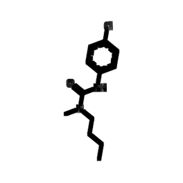 CCCCN(C)C(=O)Nc1ccc(Cl)cc1